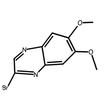 COc1cc2ncc(Br)nc2cc1OC